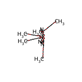 CCCCCCCCCCCCCCCCCCCCc1c/c(=c2\ccc3c(c2)[Si](CCCCCCCCCCCCCCCCCCCC)(CCCCCCCCCCCCCCCCCCCC)c2c/c(=c4/cc(CCCCCCCCCCCCCCCCCCCC)/c(=C(/C)C#N)s4)ccc2=3)sc1=C(C#N)C#N